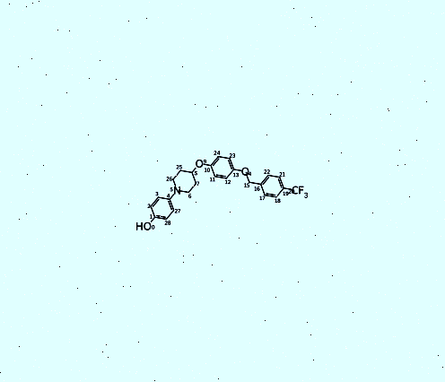 Oc1ccc(N2CCC(Oc3ccc(OCc4ccc(C(F)(F)F)cc4)cc3)CC2)cc1